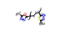 CC(C)c1nnc(C(C)(C)CCC(C)c2nnc(C(C)(C)C)s2)o1